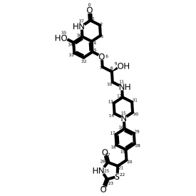 O=C1CCc2c(OC[C@@H](O)CNC3CCN(c4ccc(CC5SC(=O)NC5=O)cc4)CC3)ccc(O)c2N1